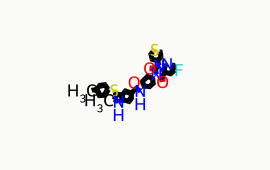 Cc1ccc(Sc2c(C)[nH]c3ccc(C(=O)N[C@H]4CC[C@@H](n5c(=O)c6cc(F)cnc6n(C6CCSCC6)c5=O)CC4)cc23)cc1